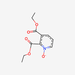 CCOC(=O)c1ccc[n+]([O-])c1C(=O)OCC